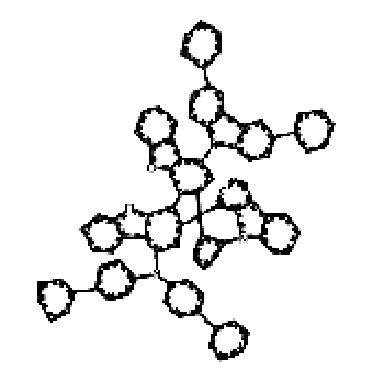 c1ccc(-c2ccc(N(c3ccc(-c4ccccc4)cc3)c3cc4c(c5oc6ccccc6c35)-c3c(cc(-n5c6ccc(-c7ccccc7)cc6c6cc(-c7ccccc7)ccc65)c5c3oc3ccccc35)C43c4ccccc4-n4c5ccccc5c5cccc3c54)cc2)cc1